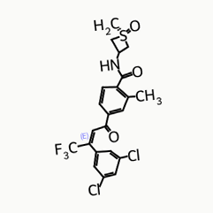 C=S1(=O)CC(NC(=O)c2ccc(C(=O)/C=C(\c3cc(Cl)cc(Cl)c3)C(F)(F)F)cc2C)C1